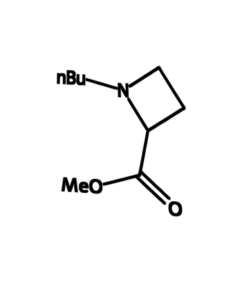 CCCCN1CCC1C(=O)OC